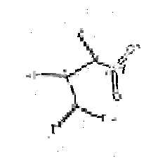 CC(C(F)C(F)F)[SH](=O)=O